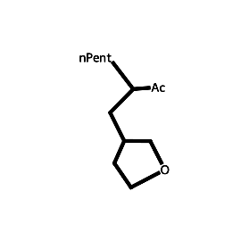 CCCCCC(CC1CCOC1)C(C)=O